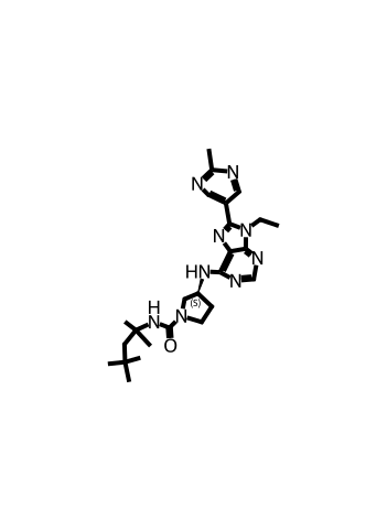 CCn1c(-c2cnc(C)nc2)nc2c(N[C@H]3CCN(C(=O)NC(C)(C)CC(C)(C)C)C3)ncnc21